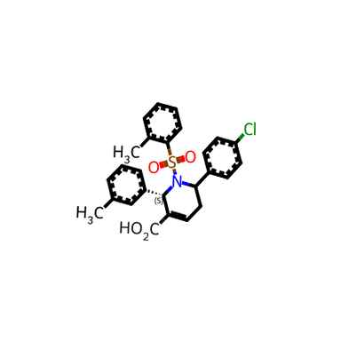 Cc1cccc([C@H]2C(C(=O)O)=CCC(c3ccc(Cl)cc3)N2S(=O)(=O)c2ccccc2C)c1